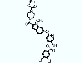 Cn1c(C(=O)N2CCN(C(=O)OC(C)(C)C)CC2)cc2ccc(Oc3ccc(NS(=O)(=O)c4ccc(Cl)c(Cl)c4)cn3)cc21